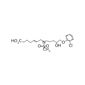 CS(=O)(=O)N(CC=CCCCC(=O)O)CCCC(O)COc1ccccc1Cl